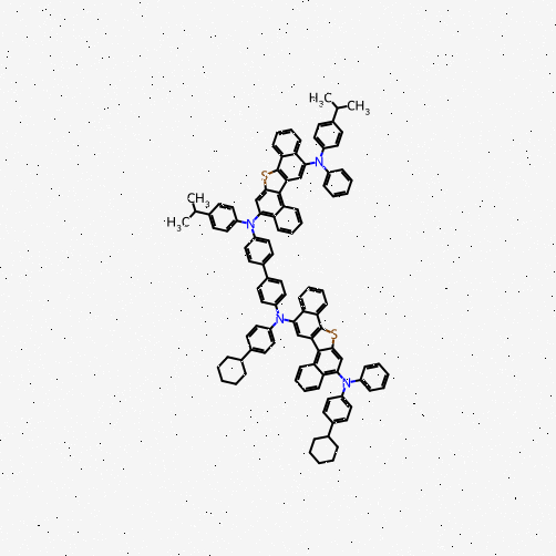 CC(C)c1ccc(N(c2ccccc2)c2cc3c(sc4cc(N(c5ccc(-c6ccc(N(c7ccc(C8CCCCC8)cc7)c7cc8c(sc9cc(N(c%10ccccc%10)c%10ccc(C%11CCCCC%11)cc%10)c%10ccccc%10c98)c8ccccc78)cc6)cc5)c5ccc(C(C)C)cc5)c5ccccc5c43)c3ccccc23)cc1